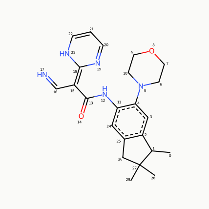 CC1c2cc(N3CCOCC3)c(NC(=O)/C(C=N)=C3\N=CC=CN3)cc2CC1(C)C